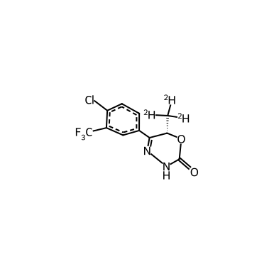 [2H]C([2H])([2H])[C@@H]1OC(=O)NN=C1c1ccc(Cl)c(C(F)(F)F)c1